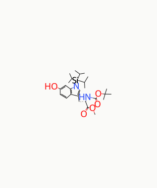 COC(=O)[C@H](Cc1cn([Si](C(C)C)(C(C)C)C(C)C)c2cc(O)ccc12)NC(=O)OC(C)(C)C